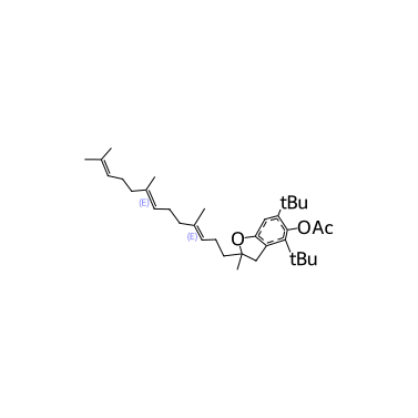 CC(=O)Oc1c(C(C)(C)C)cc2c(c1C(C)(C)C)CC(C)(CC/C=C(\C)CC/C=C(\C)CCC=C(C)C)O2